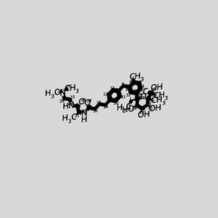 CC[C@@]1(c2ccc(C)c(Cc3ccc(CCCC(=O)N[C@H](C)C(=O)NCCN(C)C)cc3)c2)O[C@](C)(C(C)(C)O)[C@@H](O)[C@H](O)[C@H]1O